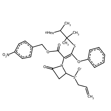 C=CC[S+]([O-])C1CC(=O)N1C(C(=O)OCc1ccc([N+](=O)[O-])cc1)=C(Oc1ccccc1)SC(C)(C)C(C)CCCCCC